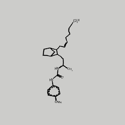 COc1ccc(NC(=O)NC(C)CC2C3CCC(C3)C2C/C=C\CCCC(=O)O)cc1